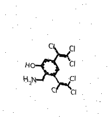 NCc1c(O)cc(C(Cl)=C(Cl)Cl)cc1C(Cl)=C(Cl)Cl